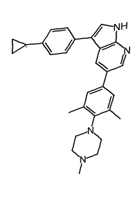 Cc1cc(-c2cnc3[nH]cc(-c4ccc([C]5CC5)cc4)c3c2)cc(C)c1N1CCN(C)CC1